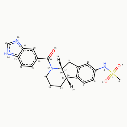 CS(=O)(=O)Nc1ccc2c(c1)C[C@@H]1[C@H]2CCCN1C(=O)c1ccc2[nH]cnc2c1